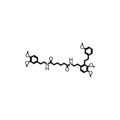 COc1cccc(CCc2c(CCNC(=O)CCCCC(=O)NCCc3ccc(OC)c(OC)c3)ccc(OC)c2OC)c1